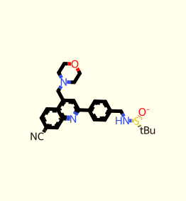 CC(C)(C)[S+]([O-])NCc1ccc(-c2cc(CN3CCOCC3)c3ccc(C#N)cc3n2)cc1